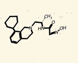 C[C@@H](CN1CCc2cccc(C3CCCCC3)c2C1)NC(=O)/C=N\O